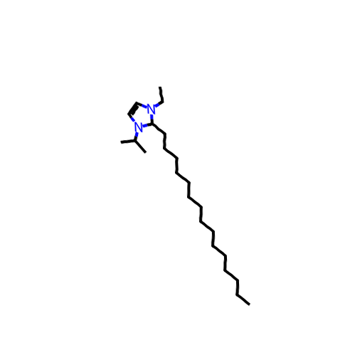 CCCCCCCCCCCCCCCC1N(CC)C=CN1C(C)C